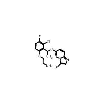 CC(Oc1ccc2ncc(Br)n2n1)c1c(OCCN)ccc(F)c1Cl